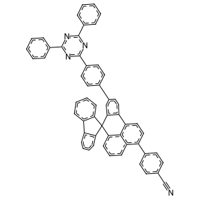 N#Cc1ccc(-c2ccc3c4c(cccc24)C2(c4ccccc4-c4ccccc42)c2cc(-c4ccc(-c5nc(-c6ccccc6)nc(-c6ccccc6)n5)cc4)ccc2-3)cc1